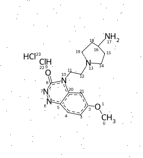 COc1ccc2nnc(=O)n(CCN3CCC(N)CC3)c2c1.Cl.Cl